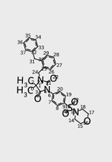 CC1(C)C(=O)N(c2ccc(S(=O)(=O)N3CCOCC3)cc2)C(=O)N1Cc1ccccc1Cc1ccccc1